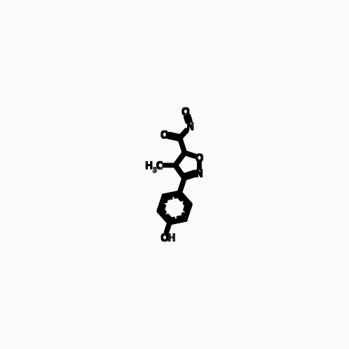 CC1C(c2ccc(O)cc2)=NOC1C(=O)N=O